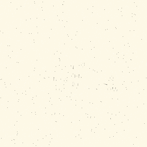 COC(=O)[C@H]1CC[C@H](NC(=O)N2C[C@H](CN(C(=O)OC(C)(C)C)[C@H](C)c3cccc4ccccc34)[C@@H](c3ccccc3)C2)CC1